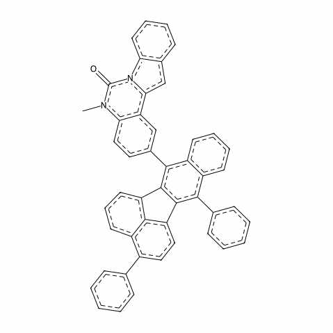 Cn1c(=O)n2c3ccccc3cc2c2cc(-c3c4c(c(-c5ccccc5)c5ccccc35)-c3ccc(-c5ccccc5)c5cccc-4c35)ccc21